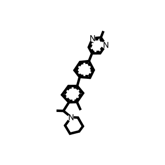 Cc1ncc(-c2ccc(-c3ccc(C(C)N4CCCCC4)c(C)c3)cc2)cn1